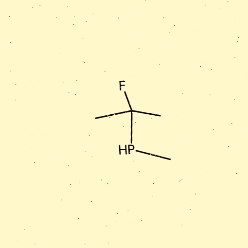 CPC(C)(C)F